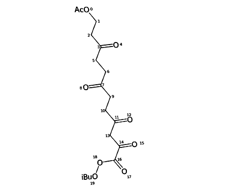 CC(=O)OCCC(=O)CCC(=O)CCC(=O)CC(=O)C(=O)OOCC(C)C